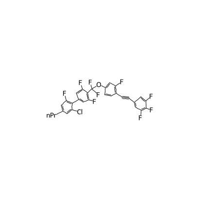 CCCc1cc(F)c(-c2cc(F)c(C(F)(F)Oc3ccc(C#Cc4cc(F)c(F)c(F)c4)c(F)c3)c(F)c2)c(Cl)c1